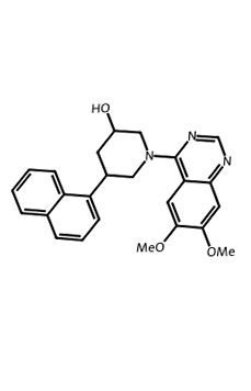 COc1cc2ncnc(N3CC(O)CC(c4cccc5ccccc45)C3)c2cc1OC